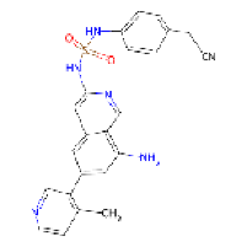 Cc1ccncc1-c1cc(N)c2cnc(NS(=O)(=O)Nc3ccc(CC#N)cc3)cc2c1